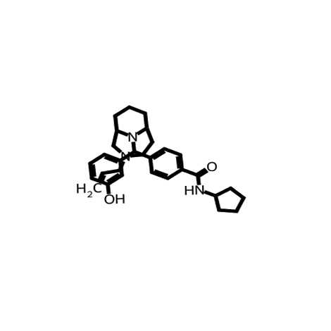 C=CCN1CCC2CCCC(C1)N2C(c1ccc(C(=O)NC2CCCC2)cc1)c1cccc(O)c1